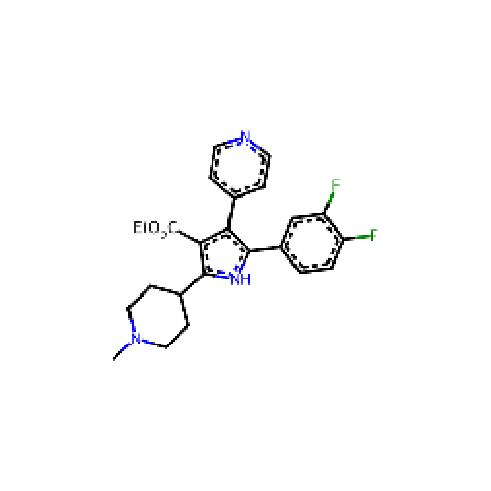 CCOC(=O)c1c(C2CCN(C)CC2)[nH]c(-c2ccc(F)c(F)c2)c1-c1ccncc1